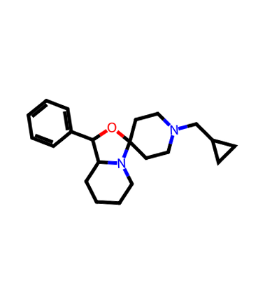 c1ccc(C2OC3(CCN(CC4CC4)CC3)N3CCCCC23)cc1